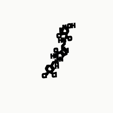 O=C(NCCn1ncc2nc(NCc3ccc(Cl)c(Cl)c3)[nH]c(=O)c21)c1cc(O)nnc1Cl